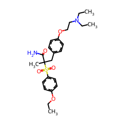 CCOc1ccc(S(=O)(=O)C(C)(Cc2ccc(OCCN(CC)CC)cc2)C(N)=O)cc1